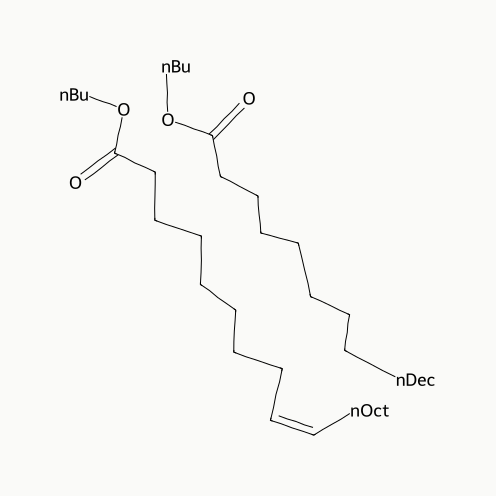 CCCCCCCC/C=C\CCCCCCCC(=O)OCCCC.CCCCCCCCCCCCCCCCCC(=O)OCCCC